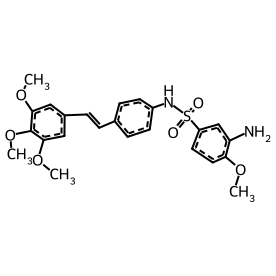 COc1ccc(S(=O)(=O)Nc2ccc(C=Cc3cc(OC)c(OC)c(OC)c3)cc2)cc1N